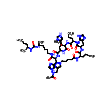 CCCCC(=O)NCc1cn(CCCCC(=O)NC(CCC(=O)O)C(=O)NC(Cc2c[nH]cn2)C(=O)NC(CCC(=O)O)C(=O)NC(Cc2c[nH]cn2)C(=O)NC(CCC(=O)O)C(=O)NC(Cc2c[nH]cn2)C(=O)NCCCCC(NC(=O)NC(CCC(=O)O)C(=O)O)C(=O)O)nn1